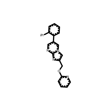 CC(C)c1ccccc1-c1cnc2nc(COc3ccccn3)cn2c1